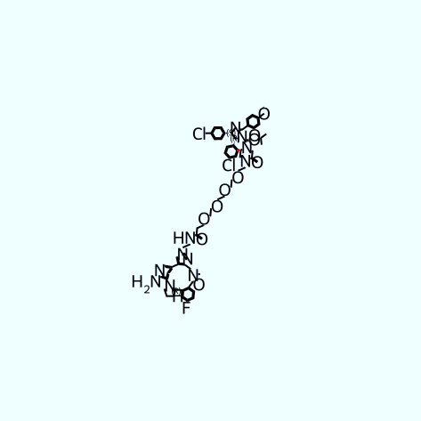 COc1ccc(C2=N[C@@H](c3ccc(Cl)cc3)[C@@H](c3ccc(Cl)cc3)N2C(=O)N2CCN(CCOCCOCCOCCOCCC(=O)NCCn3cc4c(n3)CN(C)C(=O)c3ccc(F)cc3[C@H]3CCCN3c3cc-4cnc3N)C(=O)C2)c(OC(C)C)c1